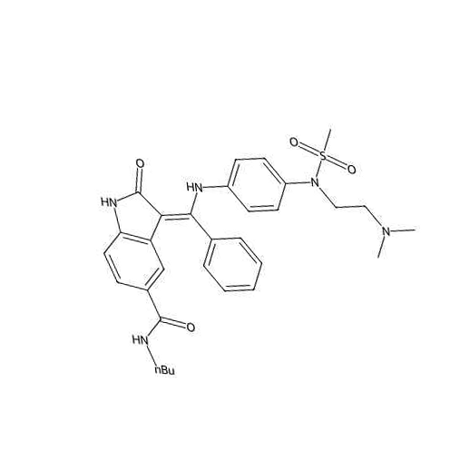 CCCCNC(=O)c1ccc2c(c1)/C(=C(/Nc1ccc(N(CCN(C)C)S(C)(=O)=O)cc1)c1ccccc1)C(=O)N2